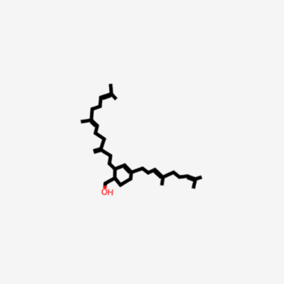 C=C(CC/C=C(\C)CCC=C(C)C)CCC1C=C(CC/C=C(\C)CCC=C(C)C)CCC1CO